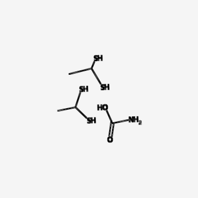 CC(S)S.CC(S)S.NC(=O)O